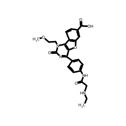 CCNCC(=O)Nc1ccc(-c2nc(=O)n(CCOC)c3c2oc2cc(C(=O)O)ccc23)cc1